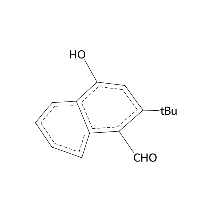 CC(C)(C)c1cc(O)c2ccccc2c1C=O